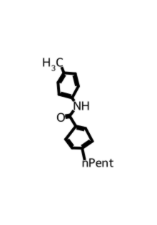 CCCCCc1ccc(C(=O)Nc2ccc(C)cc2)cc1